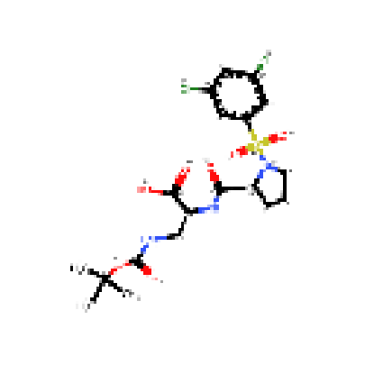 CC(C)(C)OC(=O)NC[C@H](NC(=O)[C@@H]1CCCN1S(=O)(=O)c1cc(Cl)cc(Cl)c1)C(=O)O